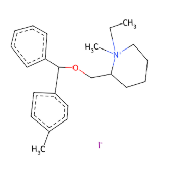 CC[N+]1(C)CCCCC1COC(c1ccccc1)c1ccc(C)cc1.[I-]